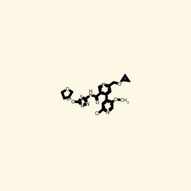 COc1cnc(Cl)cc1-c1cc(COC2CC2)ncc1C(=O)Nc1nnc(O[C@@H]2CCOC2)s1